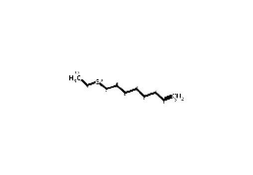 C=CCCCCCCS[CH]C